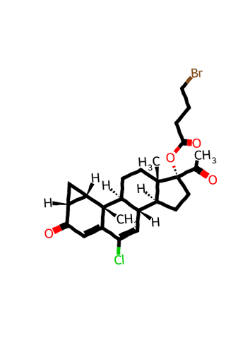 CC(=O)[C@@]1(OC(=O)CCCBr)CC[C@H]2[C@@H]3C=C(Cl)C4=CC(=O)[C@@H]5C[C@@H]5[C@]4(C)[C@H]3CC[C@@]21C